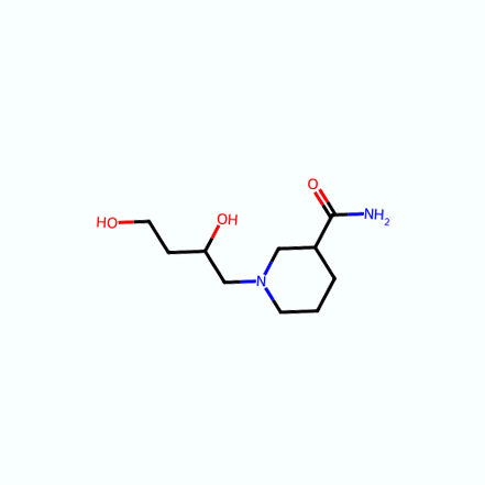 NC(=O)C1CCCN(CC(O)CCO)C1